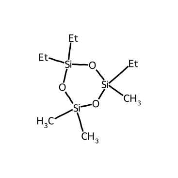 CC[Si]1(C)O[Si](C)(C)O[Si](CC)(CC)O1